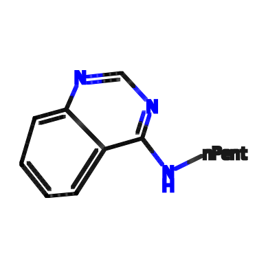 CCCCCNc1ncnc2ccccc12